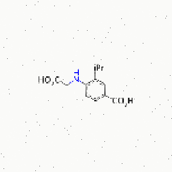 CC(C)c1cc(C(=O)O)ccc1NCC(=O)O